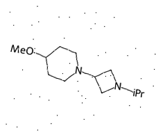 COC1CCN(C2CN(C(C)C)C2)CC1